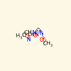 CCOC(=O)CCCN1Cc2cccc(-c3noc(-c4ccc(OC(C)C)c(C#N)c4)n3)c2C1